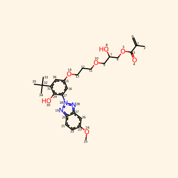 C=C(C)C(=O)OCC(O)COCCCOc1cc(-n2nc3ccc(OC)cc3n2)c(O)c(C(C)(C)C)c1